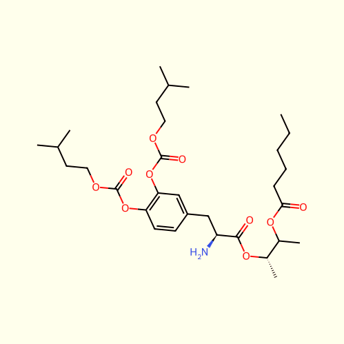 CCCCCC(=O)OC(C)[C@H](C)OC(=O)[C@@H](N)Cc1ccc(OC(=O)OCCC(C)C)c(OC(=O)OCCC(C)C)c1